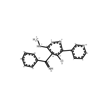 CNc1nnc(-c2cccnc2)c(Cl)c1C(=N)c1ccccc1